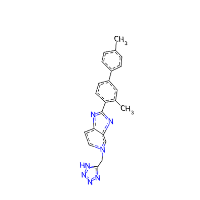 Cc1ccc(-c2ccc(-c3nc4ccn(Cc5nnn[nH]5)cc-4n3)c(C)c2)cc1